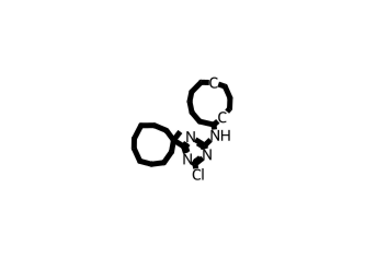 CC1(c2nc(Cl)nc(NC3CCCCCCCCCC3)n2)CCCCCCCCC1